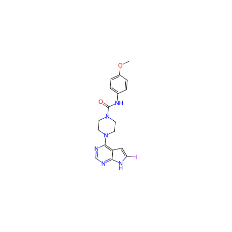 COc1ccc(NC(=O)N2CCN(c3ncnc4[nH]c(I)cc34)CC2)cc1